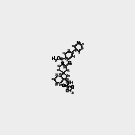 C[C@@H](c1ccc(-c2cccnc2)cc1)N1CCC(CCNS(C)(=O)=O)(c2ccccc2)CC1=O